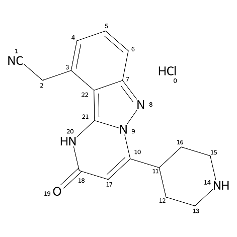 Cl.N#CCc1cccc2nn3c(C4CCNCC4)cc(=O)[nH]c3c12